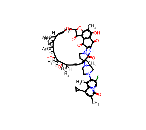 CO[C@H]1/C=C/O[C@@]2(C)Oc3c(C)c(O)c4c(c3C2=O)C(=O)C(N2CCC(N3CCN(c5c(F)cn6c(=O)c(C)cc(C7CC7)c6c5C)CC3)C2)=C(NC(=O)/C(C)=C\C=C\[C@H](C)[C@H](O)[C@@H](C)[C@@H](O)[C@@H](C)[C@H](OC(C)=O)[C@@H]1C)C4=O